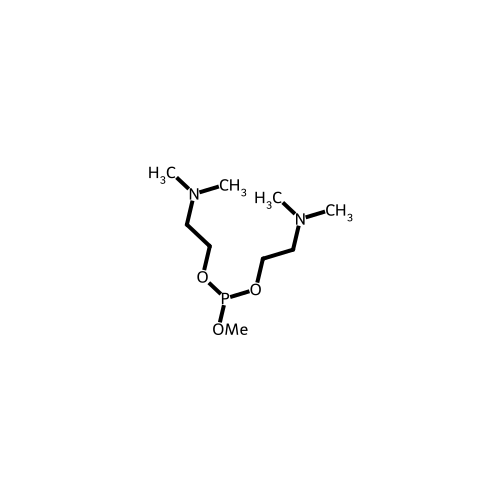 COP(OCCN(C)C)OCCN(C)C